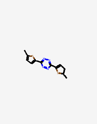 Cc1ccc(-c2nnc(C3=CCC(C)S3)nn2)s1